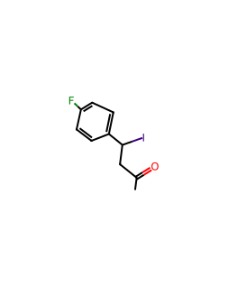 CC(=O)CC(I)c1ccc(F)cc1